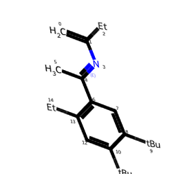 C=C(CC)/N=C(\C)c1cc(C(C)(C)C)c(C(C)(C)C)cc1CC